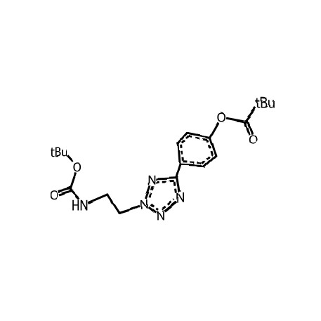 CC(C)(C)OC(=O)NCCn1nnc(-c2ccc(OC(=O)C(C)(C)C)cc2)n1